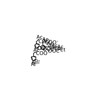 CC(=O)C(Cc1ccccc1)C(=O)[O-].CC(=O)C(Cc1ccccc1)C(=O)[O-].CC(=O)C(Cc1ccccc1)C(=O)[O-].CCC(C(C)=O)C(=O)[O-].CCC(C(C)=O)C(=O)[O-].CCC(C(C)=O)C(=O)[O-].[Al+3].[Al+3]